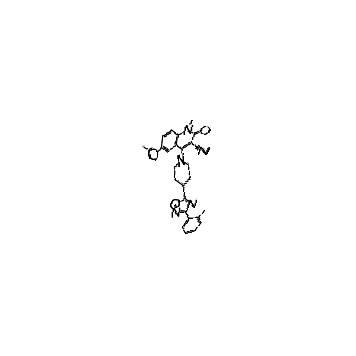 COc1ccc2c(c1)c(N1CCC(c3nc(-c4ccccc4C)no3)CC1)c(C#N)c(=O)n2C